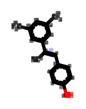 N#C/C(=C\c1ccc(O)cc1)c1cc(C(F)(F)F)cc(C(F)(F)F)c1